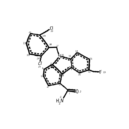 NC(=O)c1cccc2c1c1[c]c(F)ccc1n2Cc1c(Cl)cccc1Cl